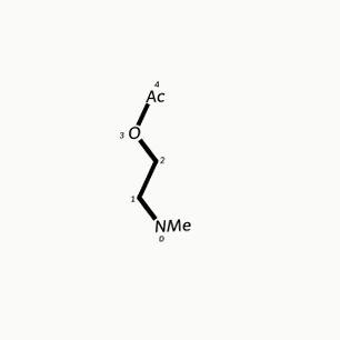 CNCCOC(C)=O